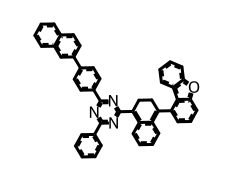 c1ccc(-c2nc(C3=c4ccccc4=C(c4cccc5oc6ccccc6c45)CC3)nc(-c3ccc(-c4ccc5ccccc5c4)cc3)n2)cc1